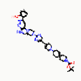 CC(C)(C)OC(=O)N1CCC2(CCC(N3CCC(c4cnc(N5CCN6c7cc(-c8ccccc8O)nnc7NC[C@H]6C5)nc4)CC3)CC2)CC1